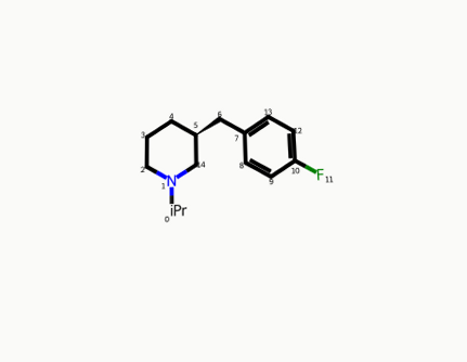 CC(C)N1CCC[C@@H](Cc2ccc(F)cc2)C1